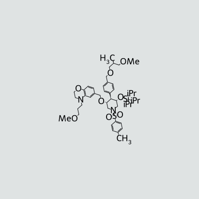 COCCCN1CCOc2ccc(CO[C@H]3CN(S(=O)(=O)c4ccc(C)cc4)C[C@@H](O[Si](C(C)C)(C(C)C)C(C)C)[C@@H]3c3ccc(COC[C@@H](C)COC)cc3)cc21